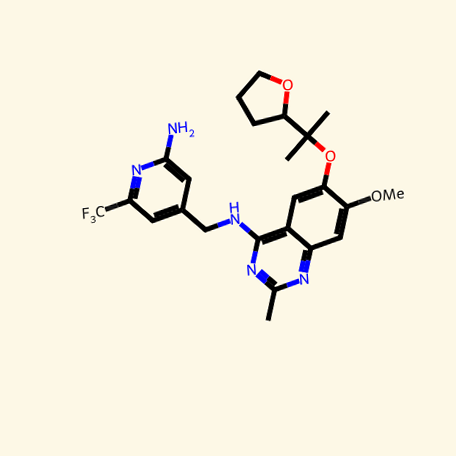 COc1cc2nc(C)nc(NCc3cc(N)nc(C(F)(F)F)c3)c2cc1OC(C)(C)C1CCCO1